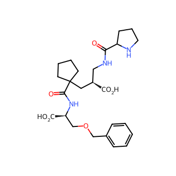 O=C(NC[C@H](CC1(C(=O)N[C@@H](COCc2ccccc2)C(=O)O)CCCC1)C(=O)O)C1CCCN1